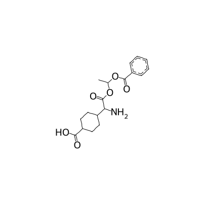 CC(OC(=O)c1ccccc1)OC(=O)C(N)C1CCC(C(=O)O)CC1